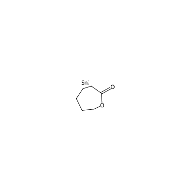 O=C1CCCCCO1.[Sn]